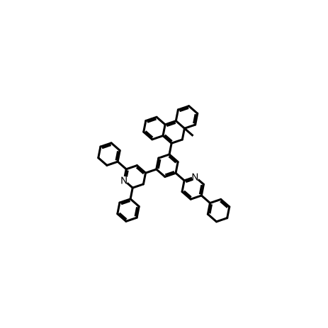 CC12C=CC=CC1=c1ccccc1=C(c1cc(C3=CC(C4=CC=CCC4)=NC(c4ccccc4)C3)cc(-c3ccc(C4=CCCC=C4)cn3)c1)C2